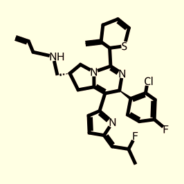 C=CCNC[C@H]1CC2=C(C3=N/C(=C\C(C)F)C=C3)[C@H](c3ccc(F)cc3Cl)N=C(C3SC=CCC3=C)N2C1